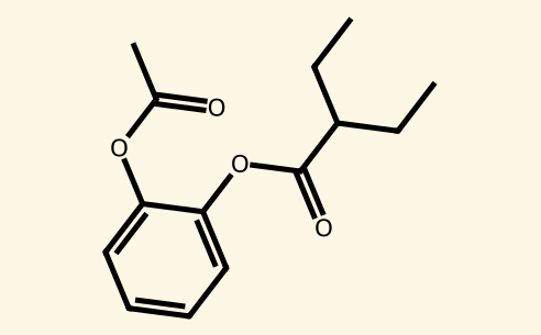 CCC(CC)C(=O)Oc1ccccc1OC(C)=O